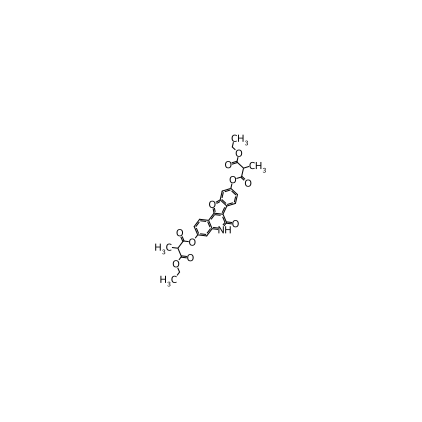 CCOC(=O)C(C)C(=O)Oc1ccc2c(c1)[nH]c(=O)c1c3ccc(OC(=O)C(C)C(=O)OCC)cc3oc21